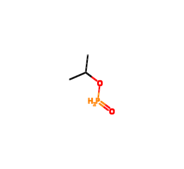 CC(C)O[PH2]=O